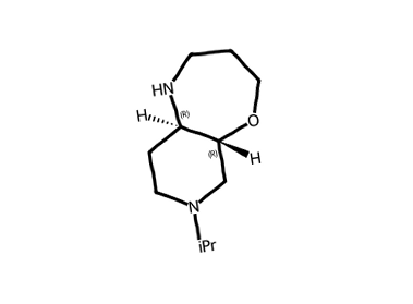 CC(C)N1CC[C@H]2NCCCO[C@@H]2C1